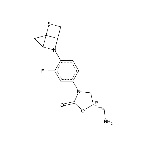 NC[C@H]1CN(c2ccc(N3C4CSC45CC35)c(F)c2)C(=O)O1